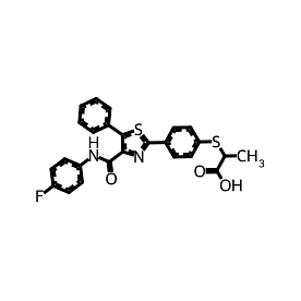 CC(Sc1ccc(-c2nc(C(=O)Nc3ccc(F)cc3)c(-c3ccccc3)s2)cc1)C(=O)O